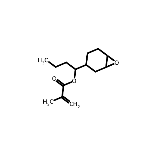 C=C(C)C(=O)OC(CCC)C1CCC2OC2C1